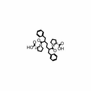 O=C(O)[C@H]1CCCN1C(=O)C(CCC(Cc1ccccc1)C(=O)N1CCC[C@@H]1C(=O)O)Cc1ccccc1